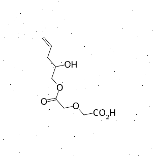 C=CCC(O)COC(=O)COCC(=O)O